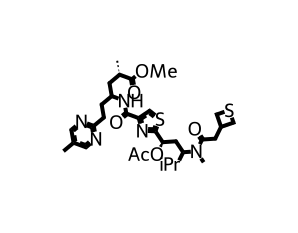 COC(=O)[C@@H](C)CC(CCc1ncc(C)cn1)NC(=O)c1csc([C@@H](CC(C(C)C)N(C)C(=O)CC2CSC2)OC(C)=O)n1